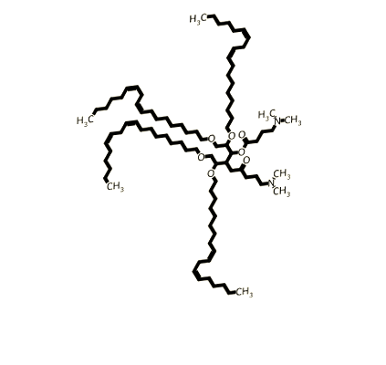 CCCCC/C=C\C/C=C\CCCCCCCCOCC(OCCCCCCCC/C=C\C/C=C\CCCCC)C(CC(=O)CCCN(C)C)C(OC(=O)CCCN(C)C)C(COCCCCCCCC/C=C\C/C=C\CCCCC)OCCCCCCCC/C=C\C/C=C\CCCCC